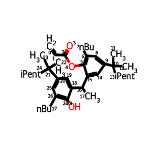 C=CC(=O)Oc1c(CCCC)cc(C(C)(C)C(C)CCC)cc1C(C)c1cc(C(C)(C)C(C)CCC)cc(CCCC)c1O